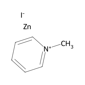 C[n+]1ccccc1.[I-].[Zn]